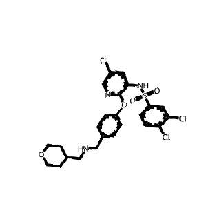 O=S(=O)(Nc1cc(Cl)cnc1Oc1ccc(CNCC2CCOCC2)cc1)c1ccc(Cl)c(Cl)c1